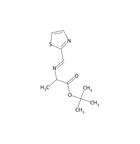 CC(N=Cc1nccs1)C(=O)OC(C)(C)C